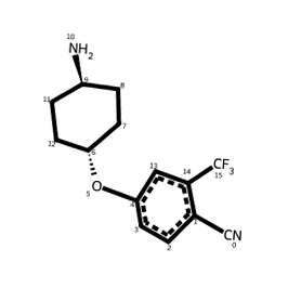 N#Cc1ccc(O[C@H]2CC[C@H](N)CC2)cc1C(F)(F)F